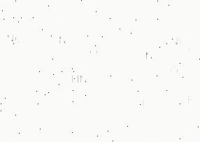 C[C@@]1(c2cc(NC(=O)c3ncc(C#N)cc3CF)ccc2F)C=C(CF)OC(N)=N1